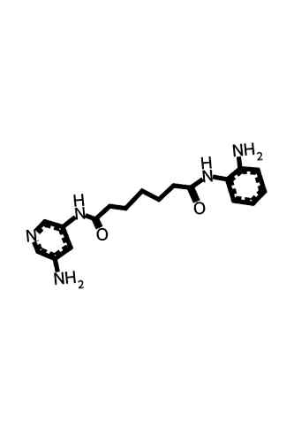 Nc1cncc(NC(=O)CCCCCC(=O)Nc2ccccc2N)c1